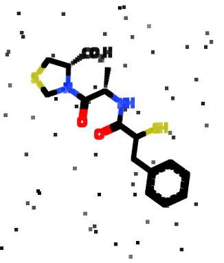 C[C@H](NC(=O)C(S)Cc1ccccc1)C(=O)N1CSC[C@@H]1C(=O)O